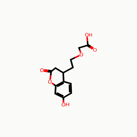 O=C(O)COCCC1CC(=O)Oc2cc(O)ccc21